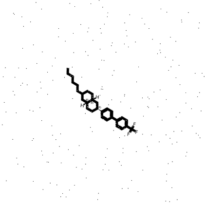 CCCCCCC1CC[C@@H]2C[C@H](c3ccc(-c4ccc(C(F)(F)F)cc4)cc3)CC[C@@H]2C1